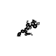 NC(=O)c1nn(CC(=O)N2CC(F)CC2C(=O)Nc2cccc(Cl)c2-n2cncn2)c2ccc(-c3ccnnc3)cc12